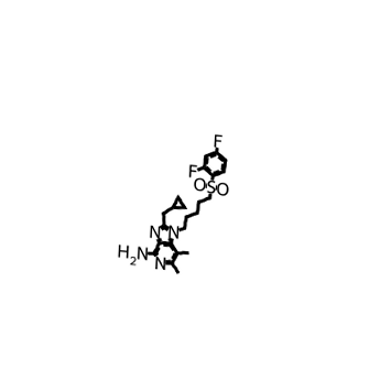 Cc1nc(N)c2nc(CC3CC3)n(CCCCCS(=O)(=O)c3ccc(F)cc3F)c2c1C